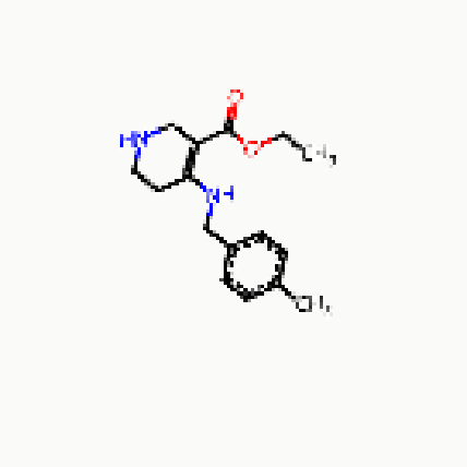 CCOC(=O)C1=C(NCc2ccc(C)cc2)CCNC1